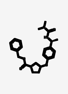 C[C@H](NC(=O)N(C)C)c1ccc(OC2CCN(C(=O)OCc3ccccc3)C2)cc1